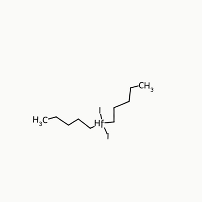 CCCC[CH2][Hf]([I])([I])[CH2]CCCC